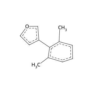 Cc1cccc(C)c1-c1ccoc1